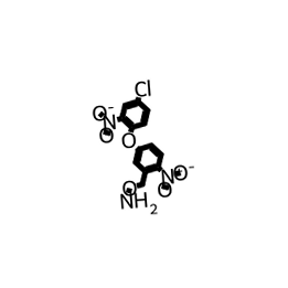 NOCc1cc(Oc2ccc(Cl)cc2[N+](=O)[O-])ccc1[N+](=O)[O-]